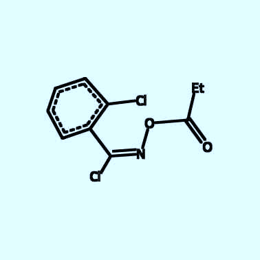 CCC(=O)O/N=C(/Cl)c1ccccc1Cl